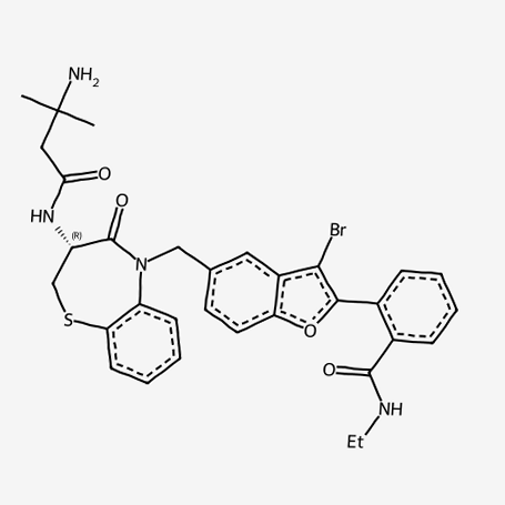 CCNC(=O)c1ccccc1-c1oc2ccc(CN3C(=O)[C@@H](NC(=O)CC(C)(C)N)CSc4ccccc43)cc2c1Br